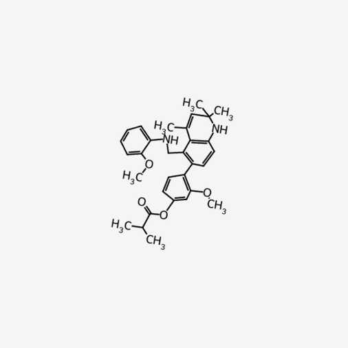 COc1ccccc1NCc1c(-c2ccc(OC(=O)C(C)C)cc2OC)ccc2c1C(C)=CC(C)(C)N2